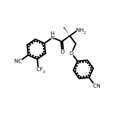 C[C@](N)(COc1ccc(C#N)cc1)C(=O)Nc1ccc(C#N)c(C(F)(F)F)c1